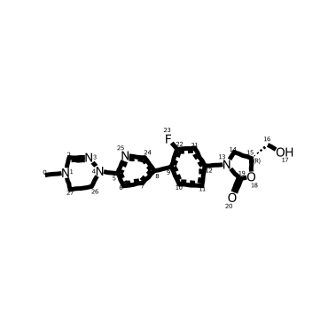 CN1C=NN(c2ccc(-c3ccc(N4C[C@H](CO)OC4=O)cc3F)cn2)CC1